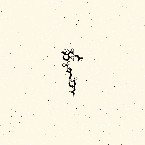 CO[C@@H]1[C@H](OC(=O)N2CC(CCN3CCN(CC(F)F)CC3=O)C2)CC[C@]2(CO2)[C@H]1[C@@]1(C)O[C@@H]1CC=C(C)C